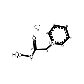 COC(=O)C[n+]1ccccc1.[Cl-]